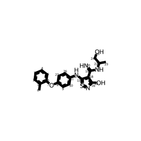 Cc1ccccc1Oc1ccc(Nc2snc(O)c2C(=N)NC(C)CO)cc1